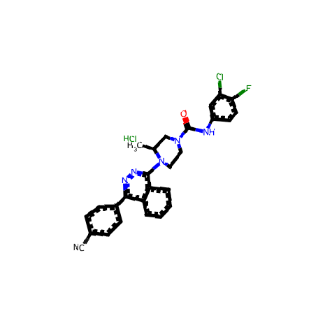 CC1CN(C(=O)Nc2ccc(F)c(Cl)c2)CCN1c1nnc(-c2ccc(C#N)cc2)c2ccccc12.Cl